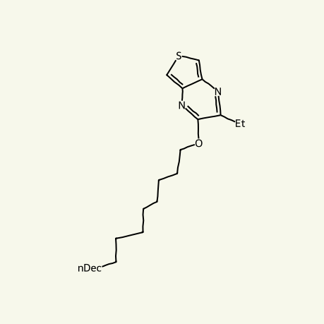 CCCCCCCCCCCCCCCCCCOc1nc2cscc2nc1CC